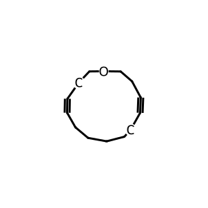 C1#CCCOCCC#CCCCCC1